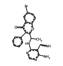 CC(Nc1ncnc(N)c1C=N)c1oc2ccc(Br)cc2c(=O)c1-c1ccccc1